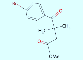 COC(=O)CC(C)(C)C(=O)c1ccc(Br)cc1